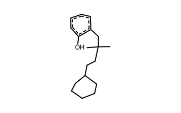 CC(C)(CCC1CCCCC1)Cc1ccccc1O